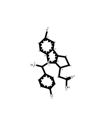 CC(c1ccc(Cl)cc1)n1c2c(c3cc(F)ccc31)CCC2CC(=O)O